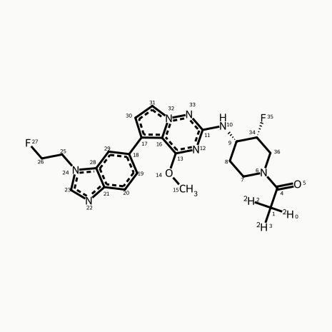 [2H]C([2H])([2H])C(=O)N1CC[C@H](Nc2nc(OC)c3c(-c4ccc5ncn(CCF)c5c4)ccn3n2)[C@H](F)C1